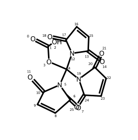 O=C(O)OC(N1C(=O)C=CC1=O)(N1C(=O)C=CC1=O)N1C(=O)C=CC1=O